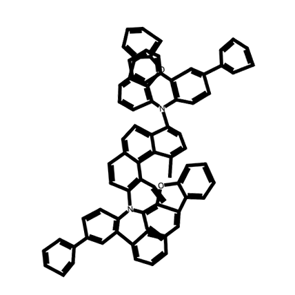 C=Cc1c(N(c2ccc(-c3ccccc3)cc2-c2ccccc2)c2cccc3c2oc2ccccc23)ccc2ccc3c(N(c4ccc(-c5ccccc5)cc4-c4ccccc4)c4cccc5c4oc4ccccc45)ccc(C)c3c12